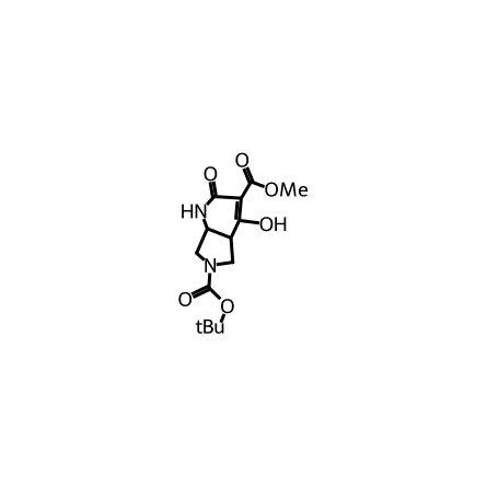 COC(=O)C1=C(O)C2CN(C(=O)OC(C)(C)C)CC2NC1=O